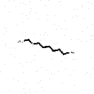 CCCCCCCCCCCSCC=O